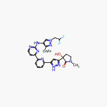 COc1nn(CC(F)F)cc1Nc1nccc(-c2cccc(-c3cc([C@]4(O)CCN(C)C4=O)n[nH]3)n2)n1